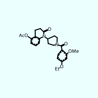 CCOc1ccc(C(=O)N2CCC(N3C(=O)CCc4c(OC(C)=O)cccc43)CC2)c(OC)c1